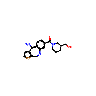 NC1=c2ccc(C(=O)N3CCCC(CO)C3)cc2=NCc2sccc21